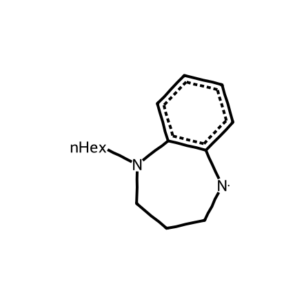 CCCCCCN1CCC[N]c2ccccc21